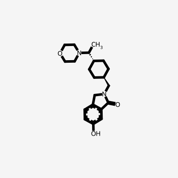 CC([C@H]1CC[C@H](CN2Cc3ccc(O)cc3C2=O)CC1)N1CCOCC1